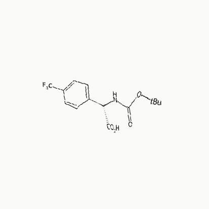 CC(C)(C)OC(=O)N[C@H](C(=O)O)c1ccc(C(F)(F)F)cc1